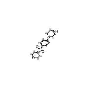 O=S(=O)(c1ccc(N2CCNCC2)cc1)N1CCOCC1